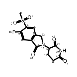 CS(=O)(=O)c1cc2c(cc1F)C(=O)N(C1CCC(=O)NC1=O)C2